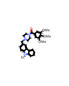 CCn1c2ccccc2c2cc(CN3CCN(C(=O)c4cc(OC)c(OC)c(OC)c4)CC3)ccc21